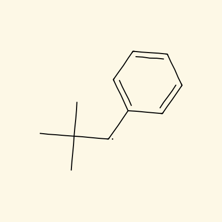 CC(C)(C)[CH]c1ccccc1